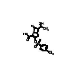 Cc1ccc(S(=O)(=O)OC2=C(C(=O)O)N3C(=O)C(C(C)O)C3C2)cc1